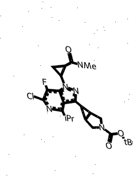 CNC(=O)C1CC1n1nc(C2C3CN(C(=O)OC(C)(C)C)CC32)c2c(C(C)C)nc(Cl)c(F)c21